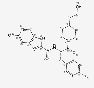 O=C(N[C@@H](Cc1ccc(F)cc1)C(=O)N1CCC(CCO)CC1)c1cc2cc(Cl)ncc2[nH]1